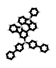 c1ccc(-c2ccc(N(c3ccc(-c4ccccc4)cc3)c3cc(-c4cccc5c4c4ccccc4n5-c4ccccc4)c4oc5ccccc5c4c3)cc2)cc1